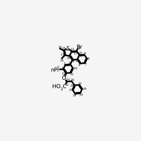 CCCc1cc(-c2c3ccccc3c(Br)c3sc(C)c(C)c23)ccc1OC(Cc1ccccc1)C(=O)O